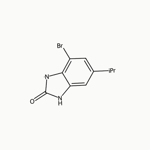 CC(C)c1cc(Br)c2c(c1)NC(=O)[N]2